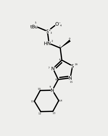 C[C@H](N[S+]([O-])C(C)(C)C)c1nc(N2CCCCC2)ns1